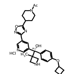 CC(=O)N1CCC(c2nc(-c3cncc([C@@](O)(c4ccc(OC5CCC5)cc4)C4(C)CNC4)c3)no2)CC1.Cl